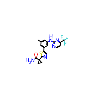 Cc1cc(Nc2nccc(C(F)(F)F)n2)cc(-c2cnc(C3(C(N)=O)CC3)s2)c1